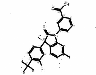 Cc1ccc2c(c1)N(c1cccc(C(=O)O)c1)C(=O)[C@]2(C)c1ccc(C(C)(C)C)c(F)c1